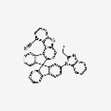 CCc1nc2ccccc2n1-c1ccc2c(c1)C1(c3ccccc3-2)c2ccccc2-c2c1ccc1sc3cccc(C#N)c3c21